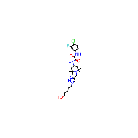 CC1(C)CC(NC(=O)C(=O)Nc2ccc(Cl)c(F)c2)CC(C)(C)N1Cc1cn(CCCCCO)nn1